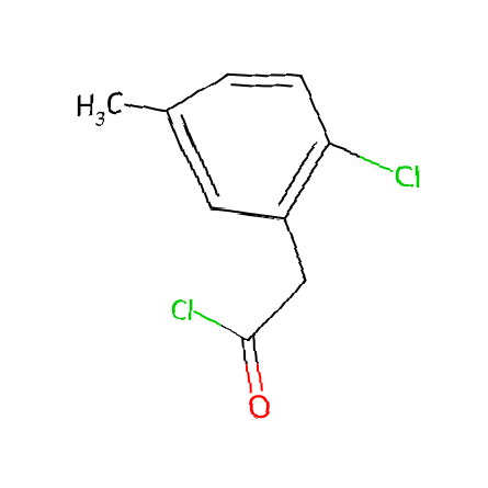 Cc1ccc(Cl)c(CC(=O)Cl)c1